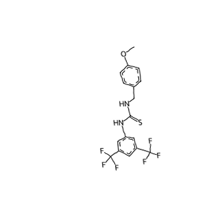 COc1ccc(CNC(=S)Nc2cc(C(F)(F)F)cc(C(F)(F)F)c2)cc1